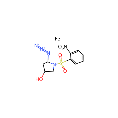 [Fe].[N-]=[N+]=NC1CC(O)CN1S(=O)(=O)c1ccccc1[N+](=O)[O-]